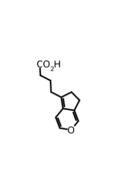 O=C(O)CCCC1=C2C=COC=C2CC1